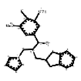 COc1cc([C@@H](O)[C@@H](CC2Cc3ccccc3C2)Cn2c[c]cc2)cc(OC)c1C